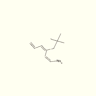 C=C/C=C(\C=C/N)CC(C)(C)C